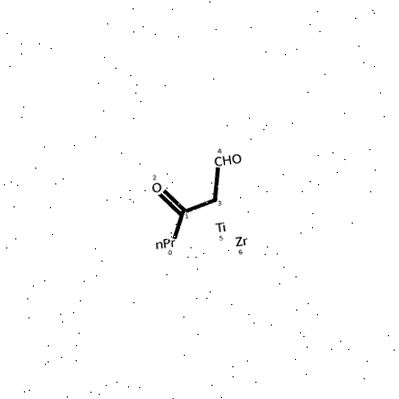 CCCC(=O)CC=O.[Ti].[Zr]